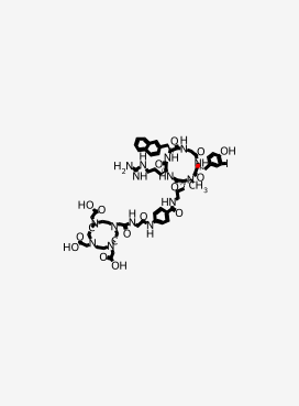 CN1C(=O)[C@@H](Cc2ccc(O)c(I)c2)NC(=O)CNC(=O)[C@H](Cc2ccc3ccccc3c2)NC(=O)[C@H](CCCNC(=N)N)NC(=O)[C@H]1CCCNC(=O)c1ccc(NC(=O)CNC(=O)CN2CCN(CC(=O)O)CCN(CC(=O)O)CCN(CC(=O)O)CC2)cc1